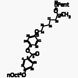 CCCCCCCCOc1ccc(C(=O)Oc2ccc(OCCCCCC(C)OCCCCC)cc2)cc1